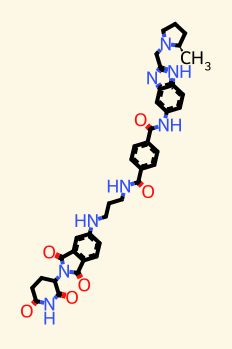 C[C@H]1CCCN1Cc1nc2cc(NC(=O)c3ccc(C(=O)NCCCNc4ccc5c(c4)C(=O)N(C4CCC(=O)NC4=O)C5=O)cc3)ccc2[nH]1